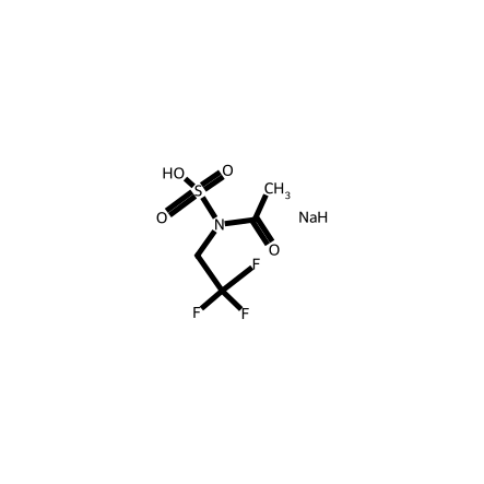 CC(=O)N(CC(F)(F)F)S(=O)(=O)O.[NaH]